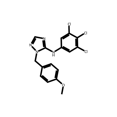 COc1ccc(Cn2ncnc2Nc2cc(Cl)c(Cl)c(Cl)c2)cc1